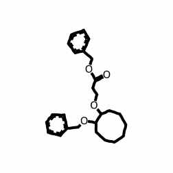 O=C(CCOC1CCCCCCCC1OCc1ccccc1)OCc1ccccc1